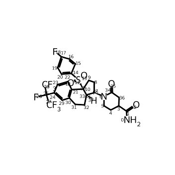 NC(=O)C1CCN([C@@H]2CC[C@@]3(S(=O)(=O)c4ccc(F)cc4)c4ccc(C(F)(C(F)(F)F)C(F)(F)F)cc4CC[C@@H]23)C(=O)C1